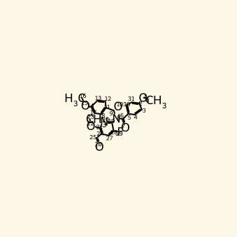 COc1ccc(C(=O)N(C(=O)c2ccc(OC)cc2)c2nc(OC)c(C=O)cc2F)cc1